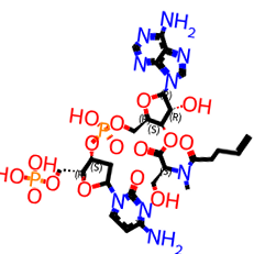 C=CCCC(=O)N(C)[C@@H](CO)C(=O)O[C@H]1[C@@H](O)[C@H](n2cnc3c(N)ncnc32)O[C@@H]1COP(=O)(O)O[C@H]1CC(n2ccc(N)nc2=O)O[C@@H]1COP(=O)(O)O